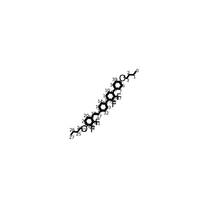 CCCCOc1ccc(-c2ccc(-c3ccc(/C=C/c4ccc(OCCCC)c(F)c4F)cc3)c(F)c2F)cc1